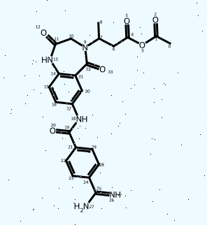 CC(=O)OC(=O)CC(C)N1CC(=O)Nc2ccc(NC(=O)c3ccc(C(=N)N)cc3)cc2C1=O